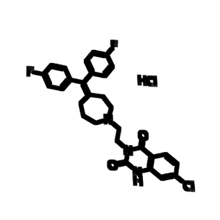 Cl.O=c1[nH]c2cc(Cl)ccc2c(=O)n1CCN1CCCC(=C(c2ccc(F)cc2)c2ccc(F)cc2)CC1